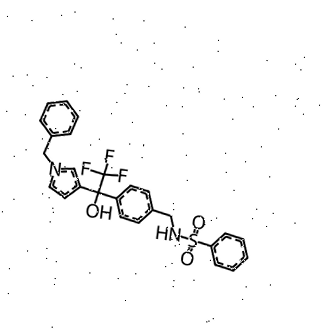 O=S(=O)(NCc1ccc(C(O)(c2ccn(Cc3ccccc3)c2)C(F)(F)F)cc1)c1ccccc1